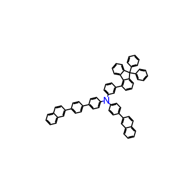 c1ccc(C2(c3ccccc3)c3ccccc3-c3c(-c4cccc(N(c5ccc(-c6ccc(-c7ccc8ccccc8c7)cc6)cc5)c5ccc(-c6ccc7ccccc7c6)cc5)c4)cccc32)cc1